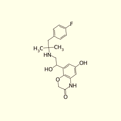 CC(C)(Cc1ccc(F)cc1)NCC(O)c1cc(O)cc2c1OCC(=O)N2